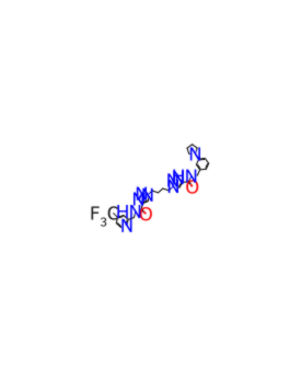 O=C(NCc1cccc(N2CCCC2)c1)c1cn(CCCCn2cc(C(=O)NCc3cc(C(F)(F)F)ccn3)nn2)nn1